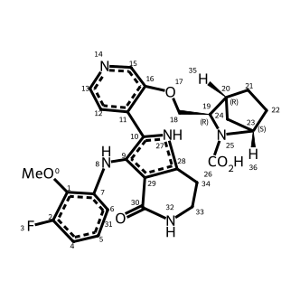 COc1c(F)cccc1Nc1c(-c2ccncc2OC[C@H]2[C@@H]3CC[C@@H](C3)N2C(=O)O)[nH]c2c1C(=O)NCC2